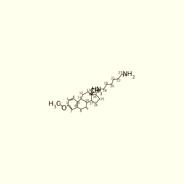 COc1ccc2c(c1)CCC1C2CC[C@]2(C)C(NCCCCCCN)CCC12